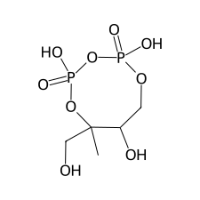 CC1(CO)OP(=O)(O)OP(=O)(O)OCC1O